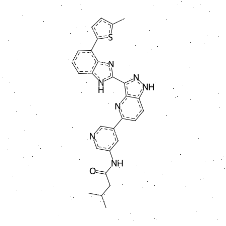 Cc1ccc(-c2cccc3[nH]c(-c4n[nH]c5ccc(-c6cncc(NC(=O)CC(C)C)c6)nc45)nc23)s1